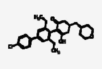 CCc1cc(-c2ccc(Cl)cc2)cc(CC)c1C1=C(O)CC(CC2CCOCC2)CC1=O